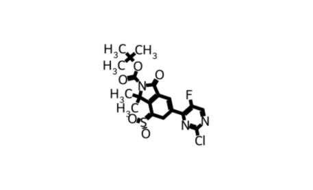 CC(C)(C)OC(=O)N1C(=O)C2=C(C(=S(=O)=O)CC(c3nc(Cl)ncc3F)=C2)C1(C)C